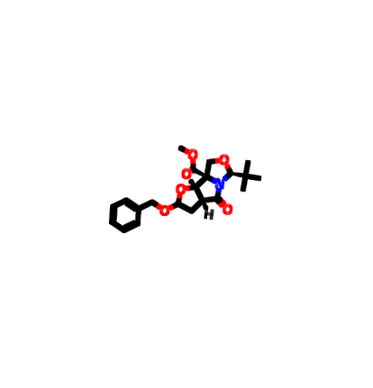 COC(=O)[C@@]12CO[C@@H](C(C)(C)C)N1C(=O)[C@@H]1CC(OCc3ccccc3)O[C@@]12C